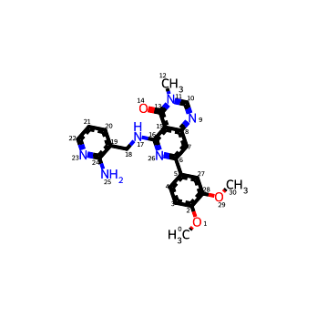 COc1ccc(-c2cc3ncn(C)c(=O)c3c(NCc3cccnc3N)n2)cc1OC